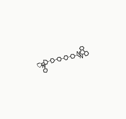 C1=Cc2c(n(-c3ccccc3)c3cc(-c4ccc(-c5ccc(-c6ccc(-c7ccc(-c8cnc9c%10ccccc%10c%10ccccc%10c9n8)cc7)cc6)cc5)cc4)ccc23)CC1